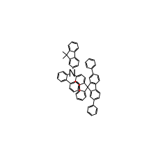 CC1(C)c2ccccc2-c2ccc(N(c3ccc4c(c3)-c3ccccc3C43c4cc(-c5ccccc5)ccc4-c4ccc(-c5ccccc5)cc43)c3ccccc3-c3ccccc3)cc21